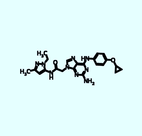 CCn1nc(C)cc1NC(=O)Cn1cnc2c(Nc3ccc(OC4CC4)cc3)nc(N)nc21